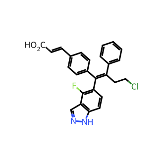 O=C(O)/C=C/c1ccc(/C(=C(/CCCl)c2ccccc2)c2ccc3[nH]ncc3c2F)cc1